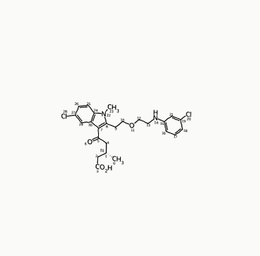 C[C@H](CC(=O)O)CC(=O)c1c(CCOCCNc2cccc(Cl)c2)n(C)c2ccc(Cl)cc12